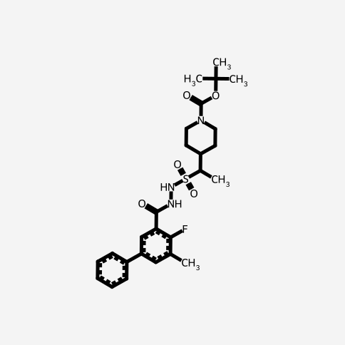 Cc1cc(-c2ccccc2)cc(C(=O)NNS(=O)(=O)C(C)C2CCN(C(=O)OC(C)(C)C)CC2)c1F